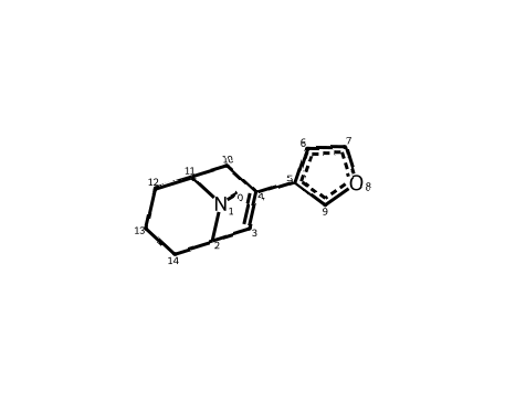 CN1C2C=C(c3ccoc3)CC1CCC2